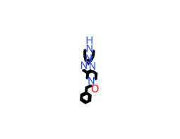 O=C(Cc1ccccc1)N1CCc2nc(N3C4CCC3CNC4)ncc2C1